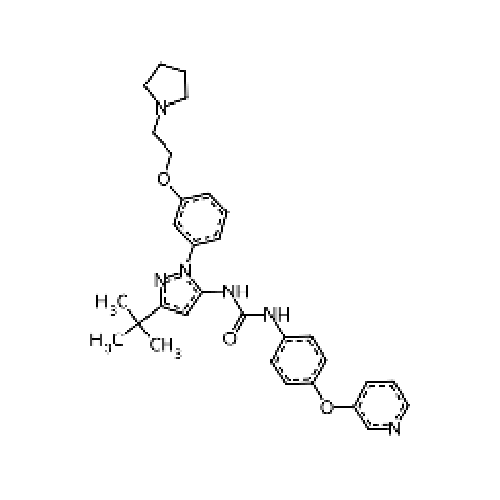 CC(C)(C)c1cc(NC(=O)Nc2ccc(Oc3cccnc3)cc2)n(-c2cccc(OCCN3CCCC3)c2)n1